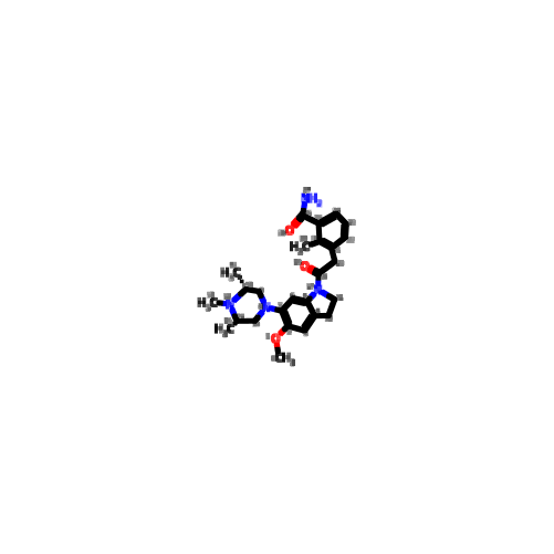 COc1cc2c(cc1N1C[C@@H](C)N(C)[C@@H](C)C1)N(C(=O)Cc1cccc(C(N)=O)c1C)CC2